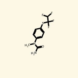 CN(C(N)=O)c1ccc(SC(F)(F)C(F)F)cc1